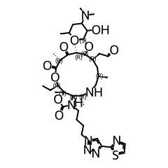 CC[C@H]1OC(=O)[C@H](C)C(=O)[C@H](C)[C@@H](O[C@@H]2OC(C)CC(N(C)C)C2O)[C@@H](CC=O)C[C@@H](C)CN[C@H](C)[C@H]2N(CCCCn3cc(-c4nccs4)nn3)C(=O)O[C@]12C